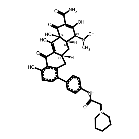 CN(C)[C@@H]1C(O)=C(C(N)=O)C(=O)[C@@]2(O)C(O)=C3C(=O)c4c(O)ccc(-c5ccc(NC(=O)CN6CCCCC6)cc5)c4C[C@H]3C[C@@H]12